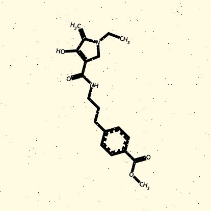 C=C1C(O)=C(C(=O)NCCCc2ccc(C(=O)OC)cc2)CN1CC